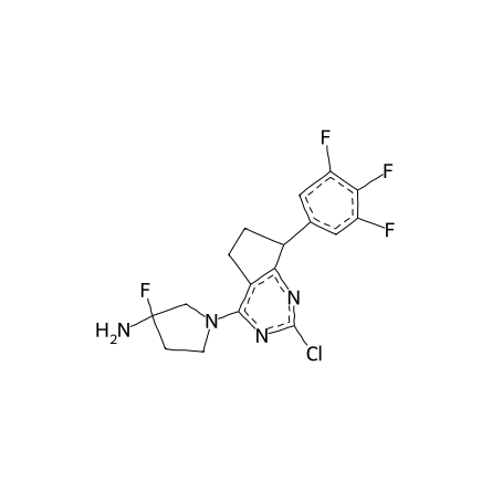 NC1(F)CCN(c2nc(Cl)nc3c2CCC3c2cc(F)c(F)c(F)c2)C1